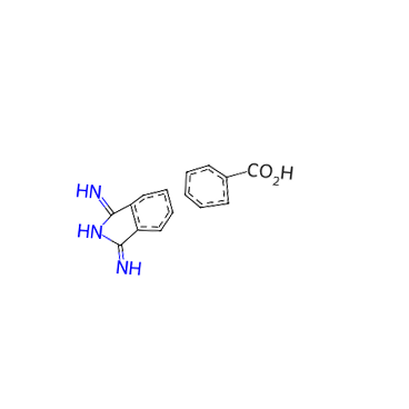 N=C1NC(=N)c2ccccc21.O=C(O)c1ccccc1